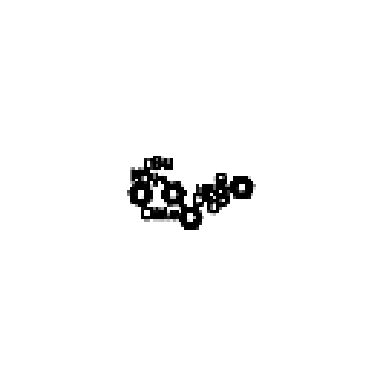 CCCCc1nc2ccc(OC)cc2n1Cc1ccc(-c2ccccc2OC(=O)NS(=O)(=O)c2ccccc2)cc1